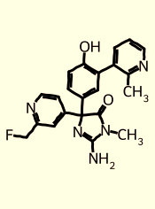 Cc1ncccc1-c1cc(C2(c3ccnc(CF)c3)N=C(N)N(C)C2=O)ccc1O